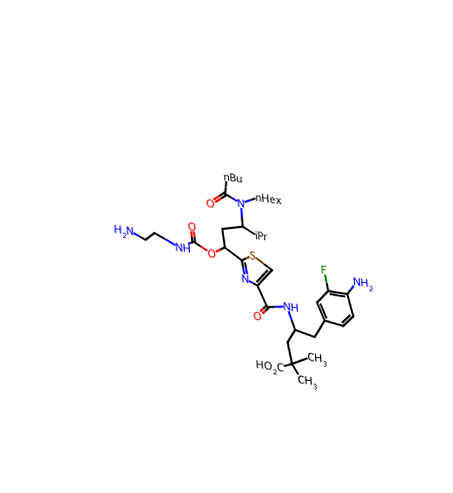 CCCCCCN(C(=O)CCCC)C(CC(OC(=O)NCCN)c1nc(C(=O)NC(Cc2ccc(N)c(F)c2)CC(C)(C)C(=O)O)cs1)C(C)C